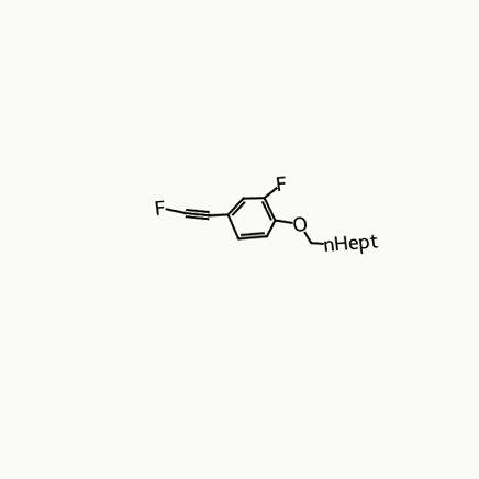 CCCCCCCCOc1ccc(C#CF)cc1F